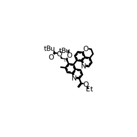 C=C(OCC)c1ccc2c(-c3ccc4c5c(ccnc35)CCO4)c([C@@H](COC(=O)C(C)(C)C)OC(C)(C)C)c(C)cc2n1